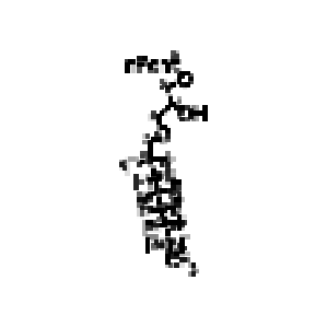 CCCCCOCC(O)COCC(F)(F)C(F)(F)C(F)(F)C(F)(F)C(F)(F)C(F)(F)C(F)(F)F